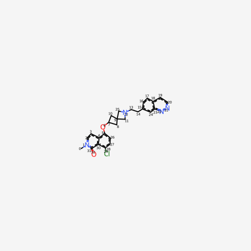 Cn1ccc2c(OC3CC4(C3)CN(CCc3ccc5ccnnc5c3)C4)ccc(Cl)c2c1=O